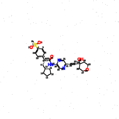 CS(=O)(=O)c1ccc([C@@H](CC2CCCC2)C(=O)Nc2cnc(C#CC3(O)CCOCC3)cn2)cc1